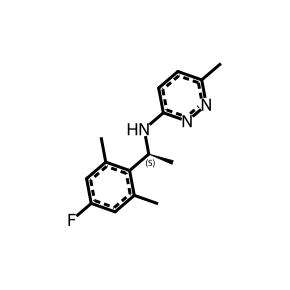 Cc1ccc(N[C@@H](C)c2c(C)cc(F)cc2C)nn1